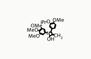 C=C1C(O)N(c2cc(OC)c(OC)c(OC)c2)C1c1ccc(OC)c(OC(C)C)c1